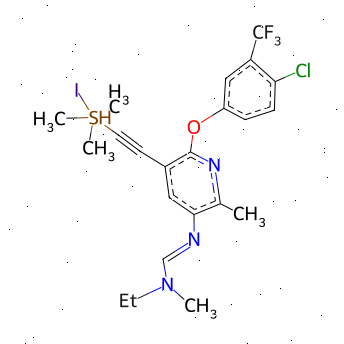 CCN(C)/C=N/c1cc(C#C[SH](C)(C)(C)I)c(Oc2ccc(Cl)c(C(F)(F)F)c2)nc1C